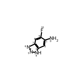 Nc1cc2[nH]nnc2cc1F